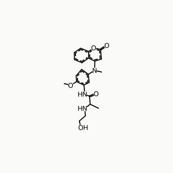 COc1ccc(N(C)c2cc(=O)oc3ccccc23)cc1NC(=O)C(C)NCCO